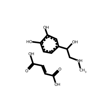 CNCC(O)c1ccc(O)c(O)c1.O=C(O)/C=C/C(=O)O